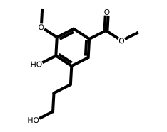 COC(=O)c1cc(CCCO)c(O)c(OC)c1